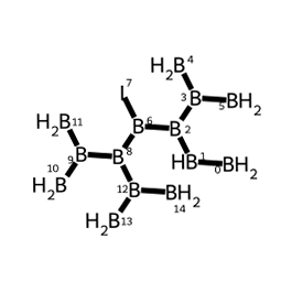 BBB(B(B)B)B(I)B(B(B)B)B(B)B